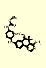 CO/N=C1\c2cc(NC3CCC(NC(=O)OC(C)(C)C)CC3)ccc2-c2ncnc(N)c2C1(C)C